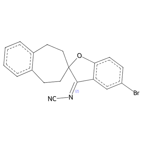 N#C/N=C1/c2cc(Br)ccc2OC12CCc1ccccc1CC2